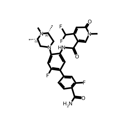 C[C@@H]1CN(c2cc(F)c(-c3ccc(C(N)=O)c(F)c3)cc2NC(=O)c2cn(C)c(=O)cc2C(F)F)C[C@H](C)N1C